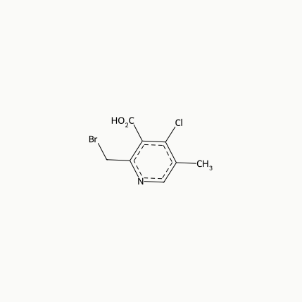 Cc1cnc(CBr)c(C(=O)O)c1Cl